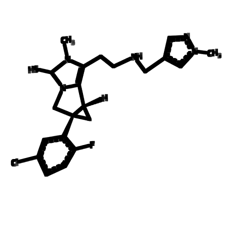 CN1C(CCNCc2cnn(C)c2)=C2[C@@H]3C[C@]3(c3cc(Cl)ccc3F)CN2C1S